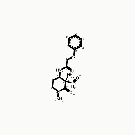 NN1CCC(NC(=O)COc2ccccc2)[C@](N)([PH2]=O)C1=O